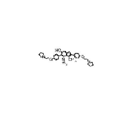 Cc1c(-c2ccc(OCCN3CCCC3)cc2)sc2cc(O)c(-c3ccc(OCCN4CCCC4)cc3)c(N)c12